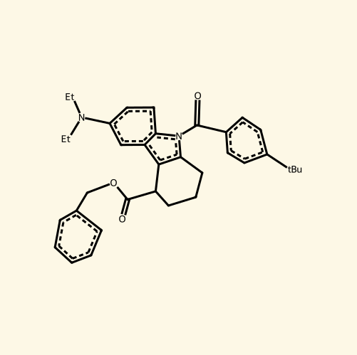 CCN(CC)c1ccc2c(c1)c1c(n2C(=O)c2ccc(C(C)(C)C)cc2)CCCC1C(=O)OCc1ccccc1